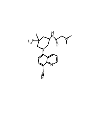 CN(C)CC(=O)NC1CN(c2ccc(C#N)c3ncccc23)CC(P)(I)C1